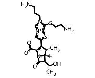 C[C@@H](O)[C@H]1C(=O)N2C(C(=O)[O-])=C(c3c[n+]4cn(CCCN)c(SCCN)c4s3)[C@H](C)[C@H]12